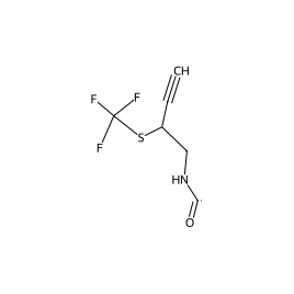 C#CC(CN[C]=O)SC(F)(F)F